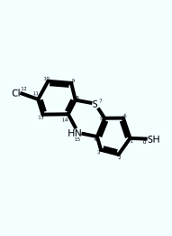 Sc1ccc2c(c1)Sc1ccc(Cl)cc1N2